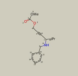 COC(=O)OCC#CC(NCc1ccccc1)C(C)C